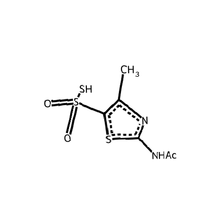 CC(=O)Nc1nc(C)c(S(=O)(=O)S)s1